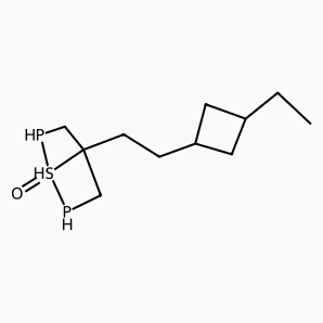 CCC1CC(CCC23CP[SH]2(=O)PC3)C1